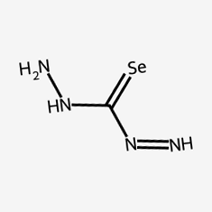 N=NC(=[Se])NN